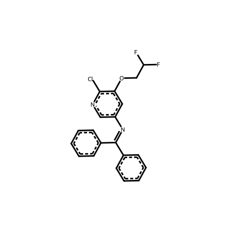 FC(F)COc1cc(N=C(c2ccccc2)c2ccccc2)cnc1Cl